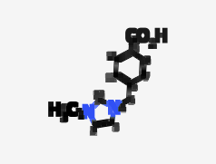 CN1C=CN(Cc2ccc(C(=O)O)cc2)C1